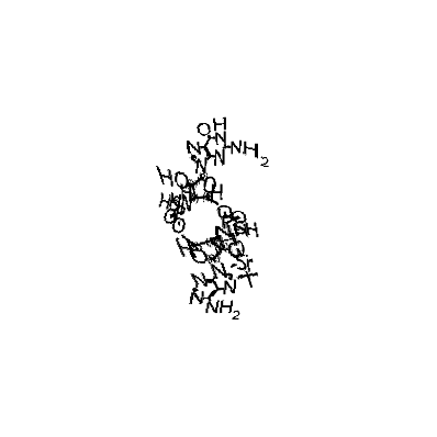 CC(C)(C)[Si](C)(C)O[C@@H]1[C@@H]2NP(=O)(S)OC[C@H]3O[C@@H](n4cnc5c(=O)[nH]c(N)nc54)[C@H](O)[C@@H]3NP(=O)(S)OC[C@H]2O[C@H]1n1cnc2c(N)ncnc21